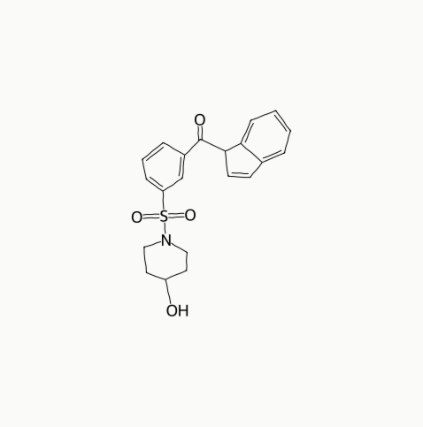 O=C(c1cccc(S(=O)(=O)N2CCC(O)CC2)c1)C1C=Cc2ccccc21